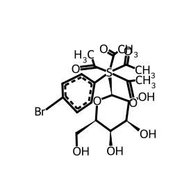 CC(=O)S(C(C)=O)(C(C)=O)(C(C)=O)(c1ccc(Br)cc1)[C@@H]1O[C@H](CO)[C@H](O)[C@H](O)[C@H]1O